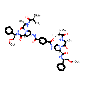 CCCCCCCCOC[C@@H](NC(=O)[C@@H]1C[C@H](NC(=O)c2ccc(C(=O)N[C@H]3C[C@@H](C(=O)N[C@H](COCCCCCCCC)c4ccccc4)N(C(=O)[C@@H](NC(=O)[C@H](C)NC)C(C)(C)C)C3)cc2)CN1C(=O)[C@@H](NC(=O)[C@H](C)NC)C(C)(C)C)c1ccccc1